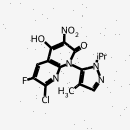 Cc1cnn(C(C)C)c1-n1c(=O)c([N+](=O)[O-])c(O)c2cc(F)c(Cl)nc21